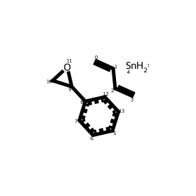 C=CC=C.[SnH2].c1ccc(C2CO2)cc1